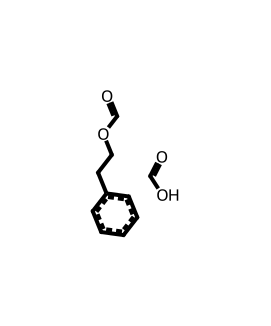 O=CO.O=COCCc1ccccc1